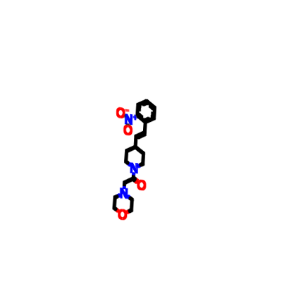 O=C(CN1CCOCC1)N1CCC(/C=C/c2ccccc2[N+](=O)[O-])CC1